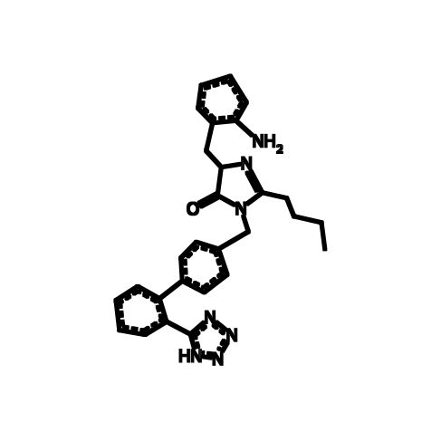 CCCCC1=NC(Cc2ccccc2N)C(=O)N1Cc1ccc(-c2ccccc2-c2nnn[nH]2)cc1